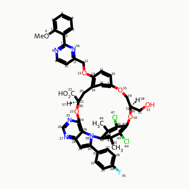 COc1ccccc1-c1nccc(COc2ccc3cc2C[C@H](C(=O)O)Oc2ncnc4cc(-c5ccc(F)cc5)n(c24)-c2c(C)c(Cl)c(c(Cl)c2C)O[C@H](CO)CO3)n1